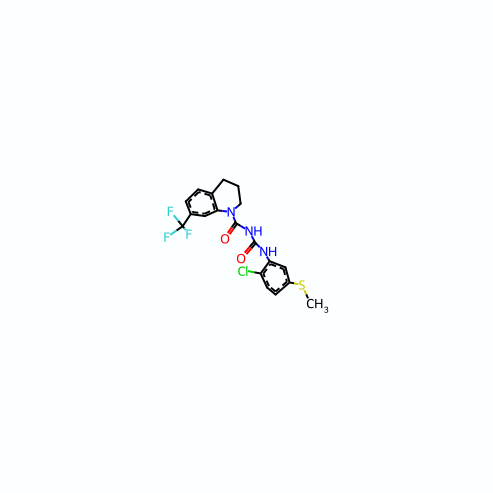 CSc1ccc(Cl)c(NC(=O)NC(=O)N2CCCc3ccc(C(F)(F)F)cc32)c1